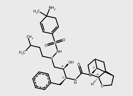 CC(C)CCN(C[C@@H](O)[C@H](Cc1ccccc1)NC(=O)O[C@H]1C2CO[C@@H]3OCC1C3C2)NS(=O)(=O)C1=CCC(C)(N)C=C1